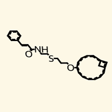 O=C(/C=C/c1ccccc1)NCCSCCCOc1ccccccc2cc(cccc1)C2